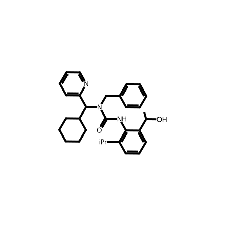 CC(C)c1cccc(C(C)O)c1NC(=O)N(Cc1ccccc1)C(c1ccccn1)C1CCCCC1